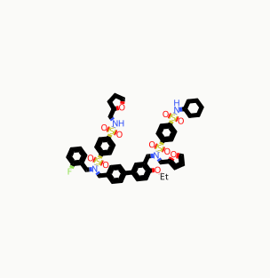 CCOc1ccc(-c2ccc(CN(Cc3ccccc3F)S(=O)(=O)c3ccc(S(=O)(=O)NCC4CCCO4)cc3)cc2)cc1CN(Cc1ccco1)S(=O)(=O)c1ccc(S(=O)(=O)NC2CCCCC2)cc1